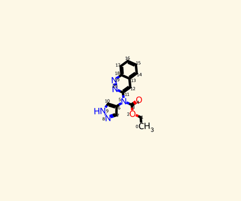 CCOC(=O)N(c1cn[nH]c1)c1cc2ccccc2nn1